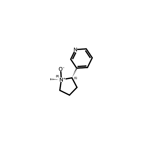 C[N@@+]1([O-])CCC[C@H]1c1cccnc1